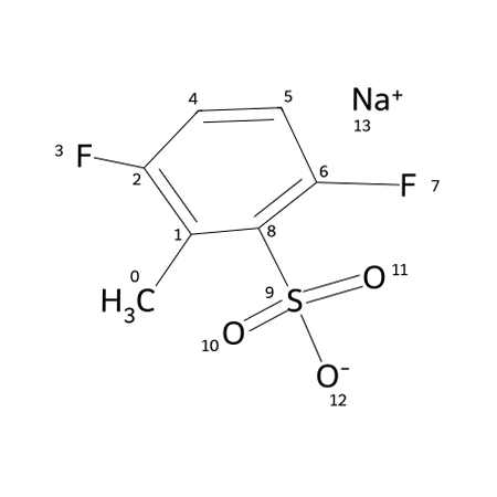 Cc1c(F)ccc(F)c1S(=O)(=O)[O-].[Na+]